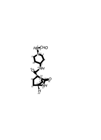 O=CBN1CCC(NC(=O)[C@@H]2CC[C@@H]3CN2C(=O)N3)CC1